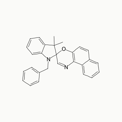 CC1(C)c2ccccc2N(Cc2ccccc2)C12C=Nc1c(ccc3ccccc13)O2